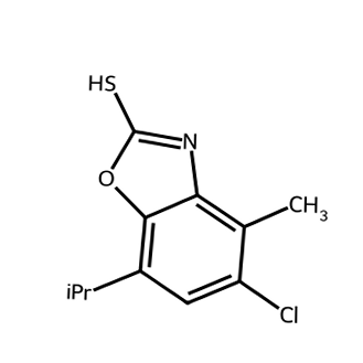 Cc1c(Cl)cc(C(C)C)c2oc(S)nc12